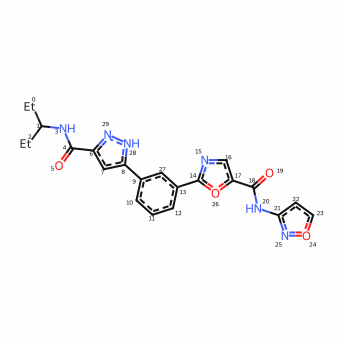 CCC(CC)NC(=O)c1cc(-c2cccc(-c3ncc(C(=O)Nc4ccon4)o3)c2)[nH]n1